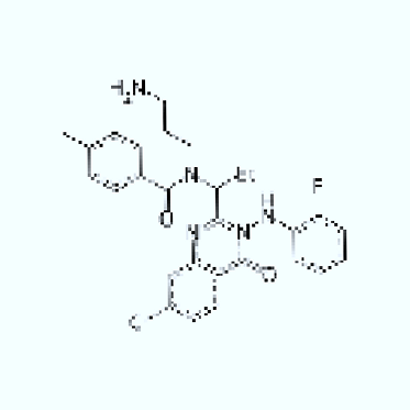 CCC(c1nc2cc(Cl)ccc2c(=O)n1Nc1ccccc1F)N(CCCN)C(=O)c1ccc(C)cc1